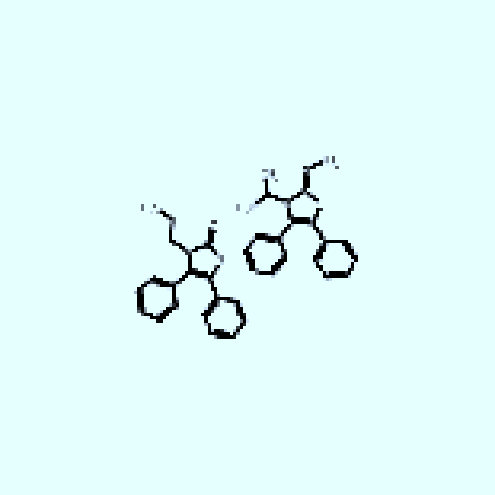 CC(C)n1c(-c2ccccc2)c(-c2ccccc2)sc1=NN.CCCn1c(-c2ccccc2)c(-c2ccccc2)sc1=O